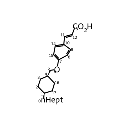 CCCCCCC[C@H]1CC[C@@H](COc2ccc(/C=C/C(=O)O)cc2)CC1